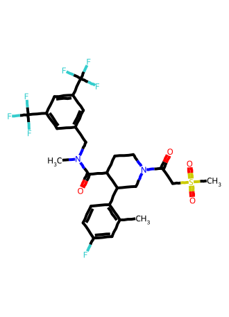 Cc1cc(F)ccc1C1CN(C(=O)CS(C)(=O)=O)CCC1C(=O)N(C)Cc1cc(C(F)(F)F)cc(C(F)(F)F)c1